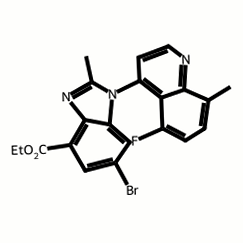 CCOC(=O)c1cc(Br)cc2c1nc(C)n2-c1ccnc2c(C)ccc(F)c12